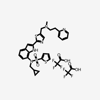 CN(CCc1ccccn1)Cc1cnc(-c2cc3cccc(N(CC4CC4)S(=O)(=O)c4cccs4)c3[nH]2)s1.O=C(O)C(F)(F)F.O=C(O)C(F)(F)F